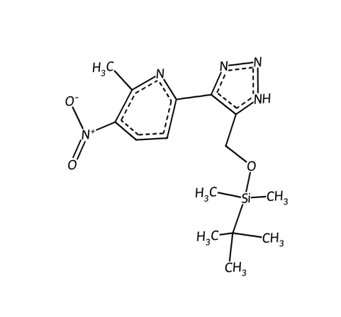 Cc1nc(-c2nn[nH]c2CO[Si](C)(C)C(C)(C)C)ccc1[N+](=O)[O-]